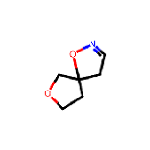 C1=NOC2(C1)CCOC2